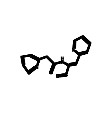 O=[C]C(=Cc1ccccn1)NC(=O)Cc1ccccn1